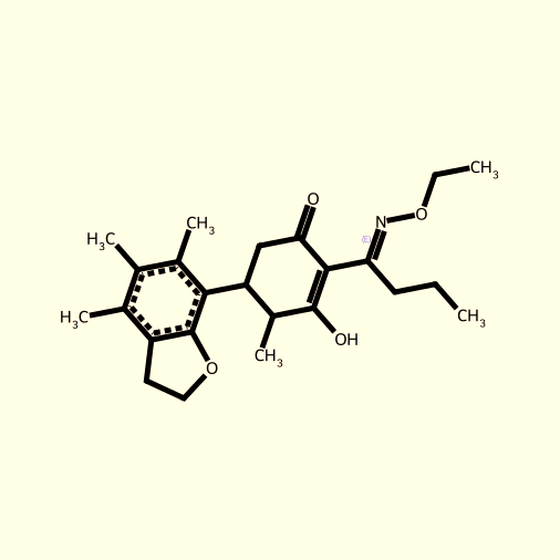 CCC/C(=N\OCC)C1=C(O)C(C)C(c2c(C)c(C)c(C)c3c2OCC3)CC1=O